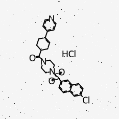 Cl.O=C(C1CC=C(c2ccncc2)CC1)N1CCN(S(=O)(=O)c2ccc3cc(Cl)ccc3c2)CC1